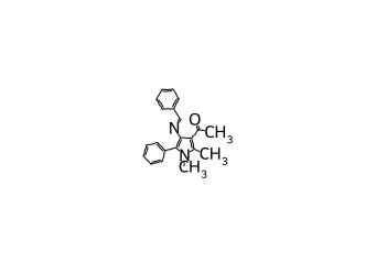 CC(=O)c1c(N=Cc2ccccc2)c(-c2ccccc2)n(C)c1C